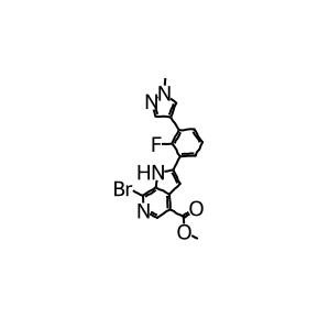 COC(=O)c1cnc(Br)c2[nH]c(-c3cccc(-c4cnn(C)c4)c3F)cc12